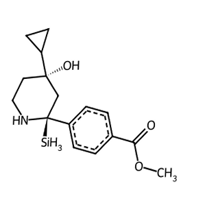 COC(=O)c1ccc([C@@]2([SiH3])C[C@](O)(C3CC3)CCN2)cc1